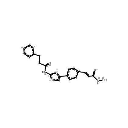 O=C(/C=C/c1ccc(-c2csc(NC(=O)CCc3ccccc3)n2)cc1)NO